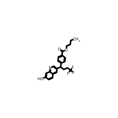 CCCCOC(=O)c1ccc(C(CCC(F)(F)F)c2cnc3cc(O)ccc3c2)cc1